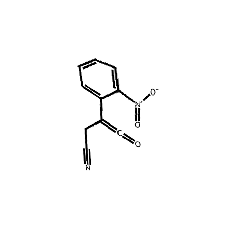 N#CCC(=C=O)c1ccccc1[N+](=O)[O-]